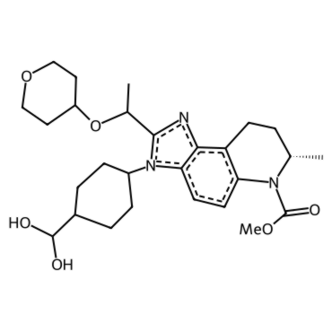 COC(=O)N1c2ccc3c(nc(C(C)OC4CCOCC4)n3C3CCC(C(O)O)CC3)c2CC[C@@H]1C